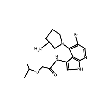 CC(C)OCC(=O)Nc1c[nH]c2ncc(Br)c(N3CCCC(N)C3)c12